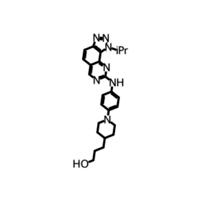 CC(C)n1nnc2ccc3cnc(Nc4ccc(N5CCC(CCCO)CC5)cc4)nc3c21